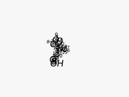 CCOC(=O)C(OCC)c1cc(-c2ccc(CS(=O)O)cc2)n(-c2ccccc2)c1C